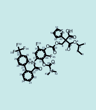 CCC(C)OC(=O)C(COC(=O)Oc1c(F)cc(NC(=O)c2ccccc2-c2ccc(C(F)(F)F)cc2)c(OC(=O)N(C)C)c1F)(C(=O)O)c1cccs1